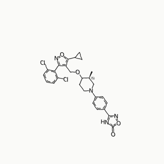 C[C@H]1CN(c2ccc(-c3noc(=O)[nH]3)cc2)CCC1OCc1c(-c2c(Cl)cccc2Cl)noc1C1CC1